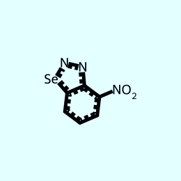 O=[N+]([O-])c1cccc2[se]nnc12